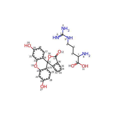 N=C(N)NCCCC(N)C(=O)O.O=C1OC2(c3ccc(O)cc3Oc3cc(O)ccc32)c2ccccc21